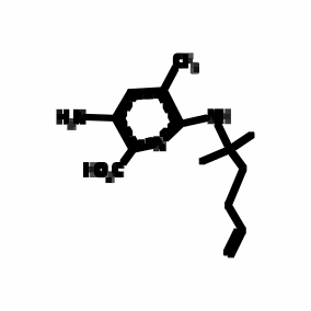 C=CCCC(C)(C)Nc1nc(C(=O)O)c(N)cc1C(F)(F)F